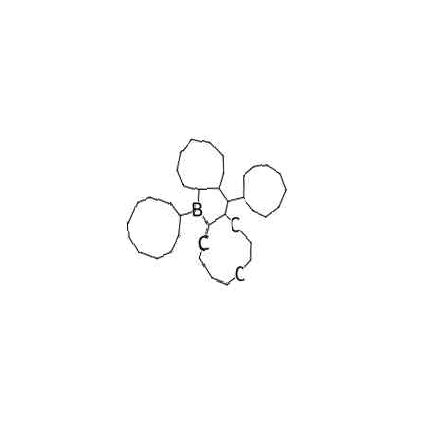 C1CCCCC(B2C3CCCCCCCCC3C(C3CCCCCCCC3)C3CCCCCCCC23)CCCC1